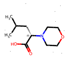 CC(C)C[C@@H](C(=O)O)N1CCOCC1